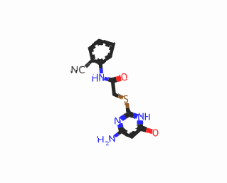 N#Cc1ccccc1NC(=O)CSc1nc(N)cc(=O)[nH]1